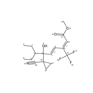 CCC(CC)C(O)(/C=C/C(=C\C(=O)OC)C(F)(F)F)C1(C#N)CC1